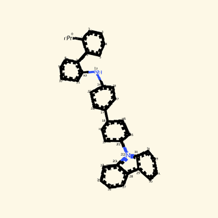 CCCc1ccccc1-c1ccccc1Nc1ccc(-c2ccc(-n3c4ccccc4c4ccccc43)cc2)cc1